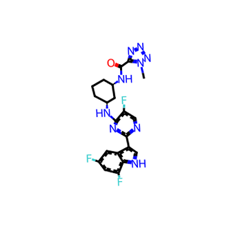 Cn1nnnc1C(=O)N[C@@H]1CCC[C@H](Nc2nc(-c3c[nH]c4c(F)cc(F)cc34)ncc2F)C1